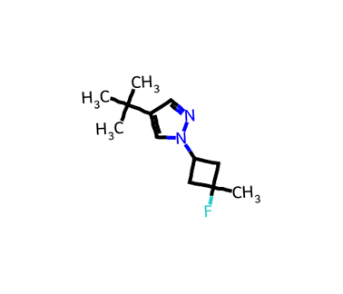 CC1(F)CC(n2cc(C(C)(C)C)cn2)C1